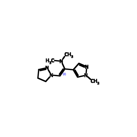 CN(C)/C(=C\N1CCC=N1)c1cnn(C)c1